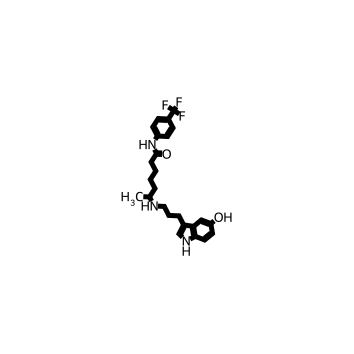 CC(CCCCC(=O)Nc1ccc(C(F)(F)F)cc1)NCCCc1c[nH]c2ccc(O)cc12